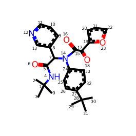 CC(C)(C)NC(=O)C(c1cccnc1)N(C(=O)C(=O)c1ccco1)c1ccc(C(C)(C)C)cc1